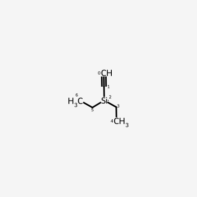 C#C[Si](CC)CC